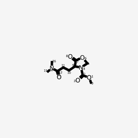 COC(=O)N1COC(=O)C1CCC(=O)N(C)C